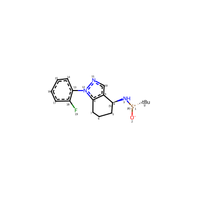 CC(C)(C)[S@+]([O-])N[C@H]1CCCc2c1cnn2-c1ccccc1F